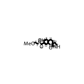 COCCN(O)C(=O)c1ccc2c(c1)C[C@@]1(CCNC1=O)CC2